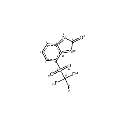 O=C1N=c2cccc(S(=O)(=O)C(F)(F)F)c2=N1